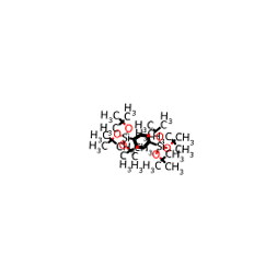 CC(C)(C)O[Si](OC(C)(C)C)(OC(C)(C)C)c1ccc([Si](OC(C)(C)C)(OC(C)(C)C)OC(C)(C)C)cc1